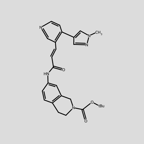 Cn1cc(-c2ccncc2C=CC(=O)Nc2ccc3c(c2)CN(C(=O)OC(C)(C)C)CC3)cn1